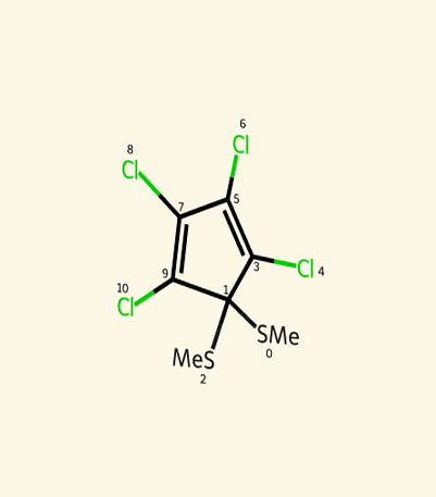 CSC1(SC)C(Cl)=C(Cl)C(Cl)=C1Cl